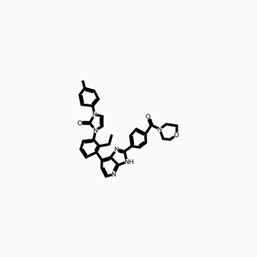 CCc1c(-c2ccnc3[nH]c(-c4ccc(C(=O)N5CCOCC5)cc4)nc23)cccc1-n1ccn(-c2ccc(C)cc2)c1=O